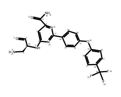 NC[C@@H](C=O)Nc1cc(C(N)=O)nc(-c2ccc(Oc3ccc(C(F)(F)F)cc3)cc2)n1